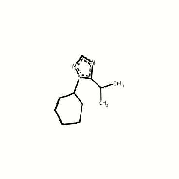 CC(C)c1ncnn1C1CCCCC1